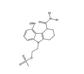 CCN(CC)C(=O)C1CCCc2c1c1c(OC)cccc1n2CCOS(C)(=O)=O